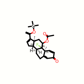 C=C(O[Si](C)(C)C)C1=CC[C@H]2[C@@H]3CCC4=CC(=O)C=C[C@]4(C)[C@@]3(F)C(OC(C)=O)C[C@]12C